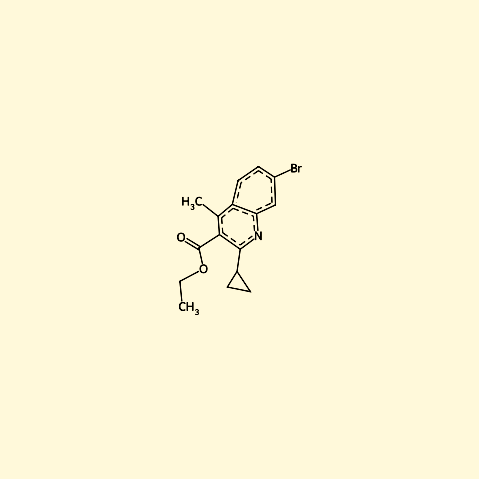 CCOC(=O)c1c(C2CC2)nc2cc(Br)ccc2c1C